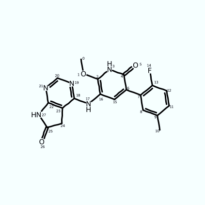 COc1[nH]c(=O)c(-c2cc(C)ccc2F)cc1Nc1ncnc2c1CC(=O)N2